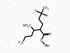 CC(F)(F)CCC(C(=O)OC(C)(C)C)C(CCC(F)(F)F)C(=O)O